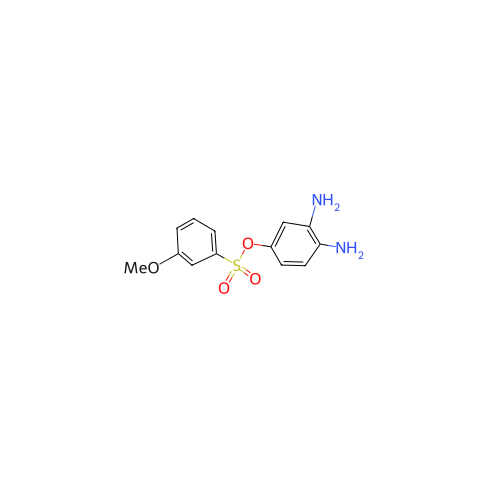 COc1cccc(S(=O)(=O)Oc2ccc(N)c(N)c2)c1